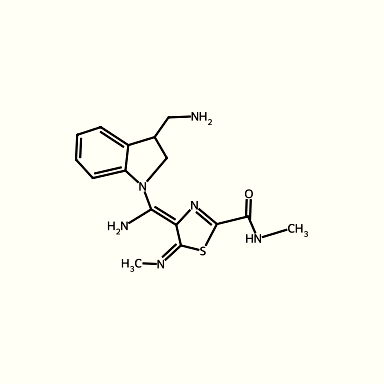 C/N=C1/SC(C(=O)NC)=N/C1=C(/N)N1CC(CN)c2ccccc21